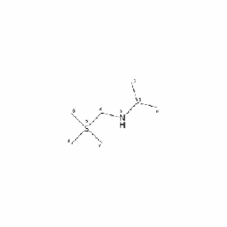 CC(C)NCS(C)(C)C